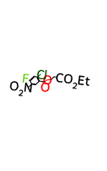 CCOC(=O)CCOC(=O)c1cc([N+](=O)[O-])c(F)cc1Cl